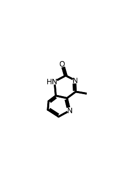 Cc1nc(=O)[nH]c2cccnc12